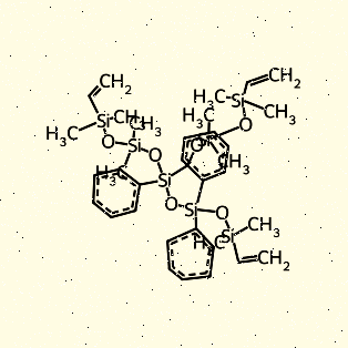 C=C[Si](C)(C)O[Si](C)(C)OC[Si](O[Si](C)(C)O[Si](C)(C)C=C)(O[Si](O[Si](C)(C)C=C)(c1ccccc1)c1ccccc1)c1ccccc1